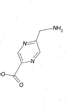 COC(=O)c1cnc(CN)cn1